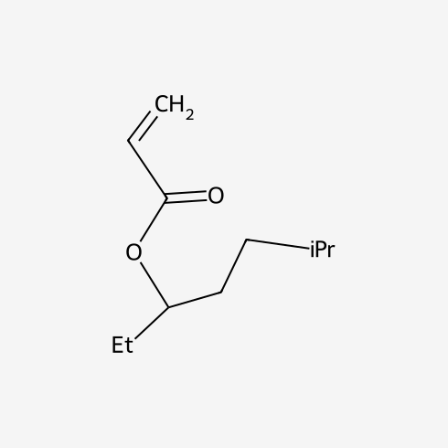 C=CC(=O)OC(CC)CCC(C)C